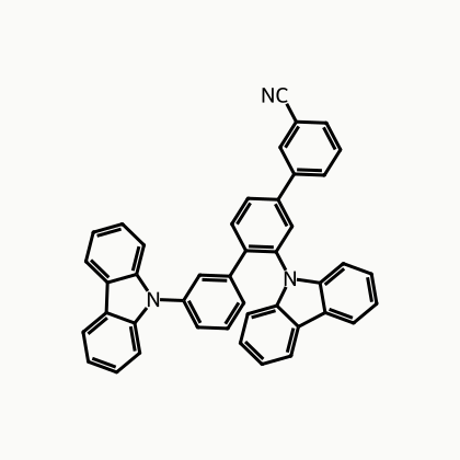 N#Cc1cccc(-c2ccc(-c3cccc(-n4c5ccccc5c5ccccc54)c3)c(-n3c4ccccc4c4ccccc43)c2)c1